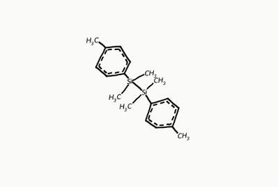 Cc1ccc([Si](C)(C)[Si](C)(C)c2ccc(C)cc2)cc1